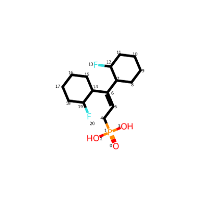 O=P(O)(O)CC=C(C1CCCCC1F)C1CCCCC1F